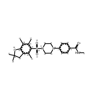 CNC(=O)c1ccc(N2CCN(S(=O)(=O)c3c(C)c(C)c4c(c3C)CC(C)(C)O4)CC2)cc1